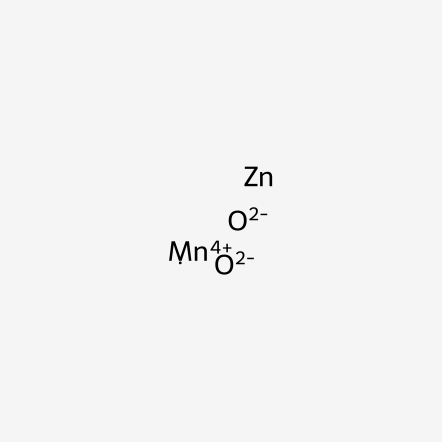 [Mn+4].[O-2].[O-2].[Zn]